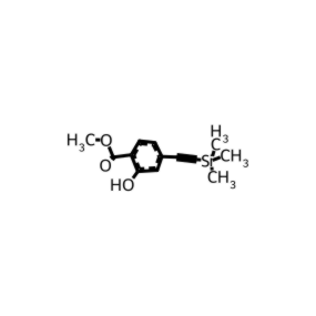 COC(=O)c1ccc(C#C[Si](C)(C)C)cc1O